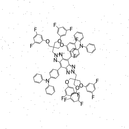 Fc1cc(F)cc(OCC(COc2cc(F)cc(F)c2)(COc2cc(F)cc(F)c2)Cn2nc3c(-c4ccc(N(c5ccccc5)c5ccccc5)cc4)c4n[n+](CC(COc5cc(F)cc(F)c5)(COc5cc(F)cc(F)c5)COc5cc(F)cc(F)c5)[n-]c4c(-c4ccc(N(c5ccccc5)c5ccccc5)cc4)c3n2)c1